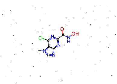 Cn1cnc2nc(C(=O)NO)nc(Cl)c21